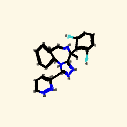 CC1(c2c(F)cccc2F)N=Cc2ccccc2-n2c(-c3cccnn3)nnc21